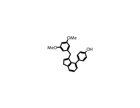 COc1cc(CC2=CCc3cccc(-c4ccc(O)cc4)c32)cc(OC)c1